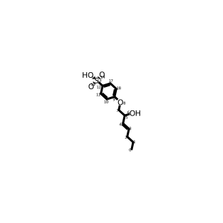 CCCC=CC(O)COc1ccc(S(=O)(=O)O)cc1